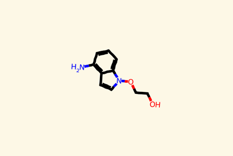 Nc1cccc2c1ccn2OCCO